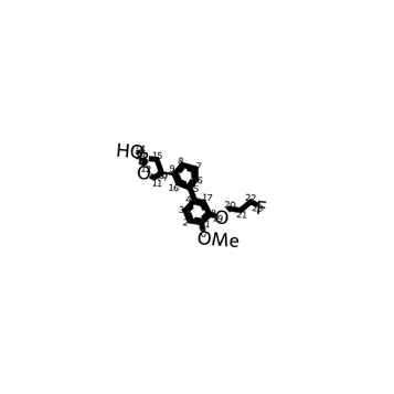 COc1ccc(-c2cccc([C@H]3COB(O)C3)c2)cc1OCCCF